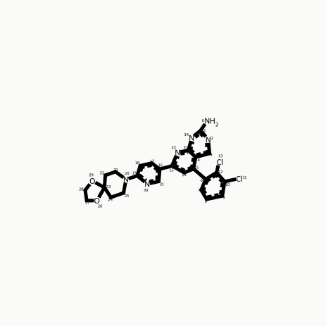 Nc1ncc2c(-c3cccc(Cl)c3Cl)cc(-c3ccc(N4CCC5(CC4)OCCO5)nc3)nc2n1